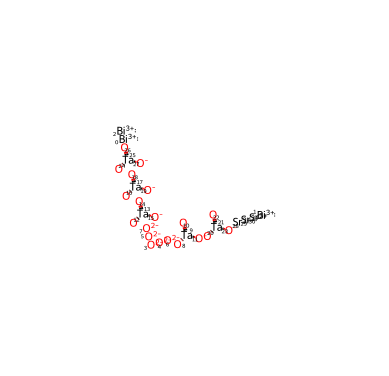 [Bi+3].[Bi+3].[Bi+3].[O-2].[O-2].[O-2].[O-2].[O-2].[O]=[Ta](=[O])[O-].[O]=[Ta](=[O])[O-].[O]=[Ta](=[O])[O-].[O]=[Ta](=[O])[O-].[O]=[Ta](=[O])[O-].[Sr+2].[Sr+2].[Sr+2]